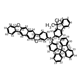 CC1(C)c2ccccc2-c2ccc(N(c3cccc(C4(c5ccccc5)c5ccccc5-c5ccccc54)c3)c3ccc4c(c3)oc3cc5cc6c(cc5cc34)oc3ccccc36)cc21